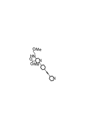 COCCNc1cnc(-c2ccc(C#Cc3cccnc3)cc2)cc1C(=O)OC